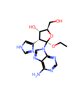 CCO[C@@]1(n2cnc3c(N)ncnc32)O[C@H](CO)[C@@H](O)[C@H]1c1c[nH]cn1